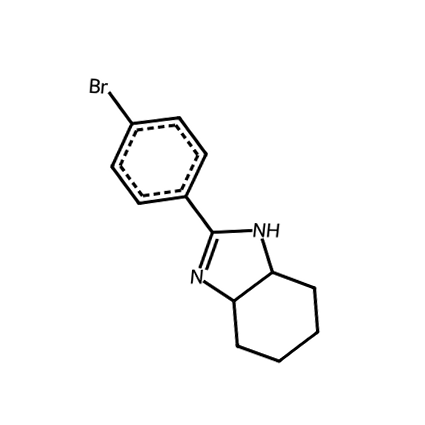 Brc1ccc(C2=NC3CCCCC3N2)cc1